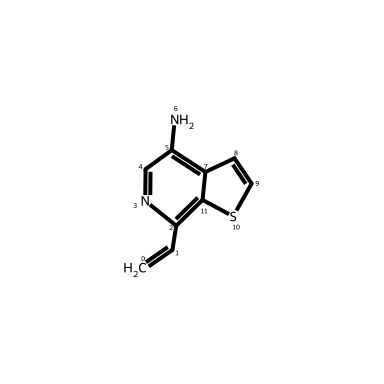 C=Cc1ncc(N)c2ccsc12